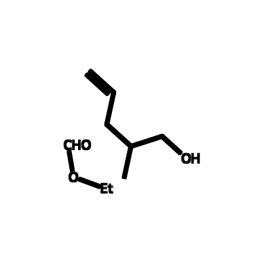 C=CCC(C)CO.CCOC=O